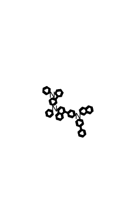 C1=CC2c3cc(N(c4ccccc4)c4ccc(-c5ccc(N(c6ccc(-c7ccccc7)cc6)c6ccc7ccccc7c6)cc5)c5ccccc45)ccc3N(c3ccccc3)C2C=C1